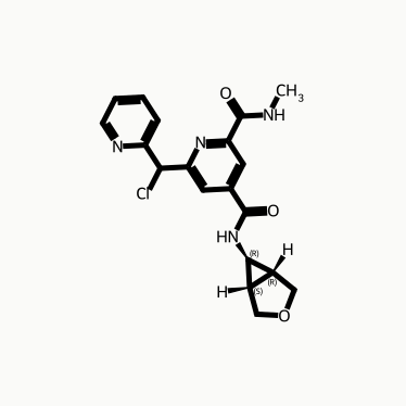 CNC(=O)c1cc(C(=O)N[C@H]2[C@@H]3COC[C@@H]32)cc(C(Cl)c2ccccn2)n1